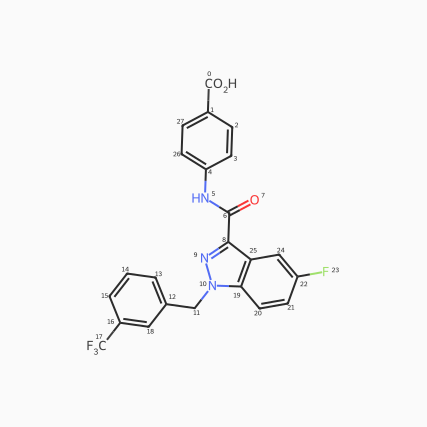 O=C(O)c1ccc(NC(=O)c2nn(Cc3cccc(C(F)(F)F)c3)c3ccc(F)cc23)cc1